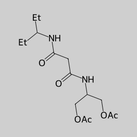 CCC(CC)NC(=O)CC(=O)NC(COC(C)=O)COC(C)=O